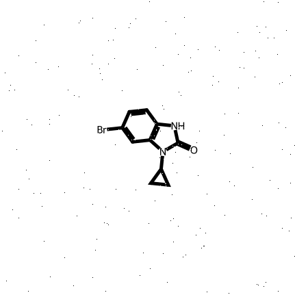 O=c1[nH]c2ccc(Br)cc2n1C1CC1